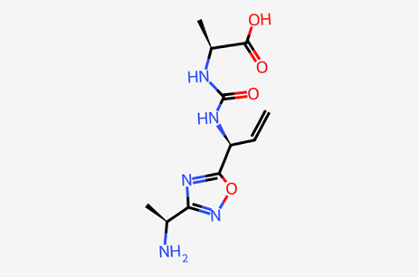 C=C[C@H](NC(=O)N[C@@H](C)C(=O)O)c1nc([C@H](C)N)no1